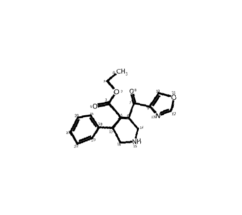 CCOC(=O)C1C(C(=O)c2cocn2)CNCC1c1ccccc1